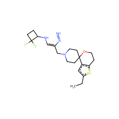 CCc1cc2c(s1)CCOC21CCN(C/C(=C/NC2CCC2(F)F)N=N)CC1